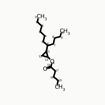 CCCCCCC(CCCC)C1CC1OC(=O)CCCC